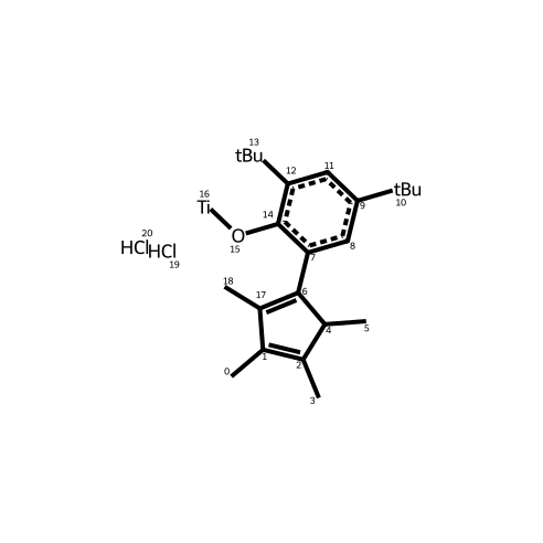 CC1=C(C)C(C)C(c2cc(C(C)(C)C)cc(C(C)(C)C)c2[O][Ti])=C1C.Cl.Cl